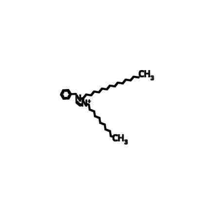 CCCCCCCCCCCCCCCc1n(Cc2ccccc2)cc[n+]1CCCCCCCCCCC